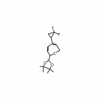 CC1(C)OB(C2C=CC(C3CC3(F)F)=CCC2)OC1(C)C